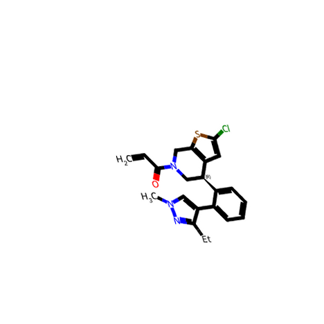 C=CC(=O)N1Cc2sc(Cl)cc2[C@@H](c2ccccc2-c2cn(C)nc2CC)C1